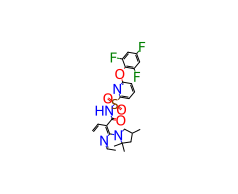 C=C/C(C(=O)NS(=O)(=O)c1cccc(Oc2c(F)cc(F)cc2F)n1)=C(\N=C/C)N1CC(C)CC1(C)C